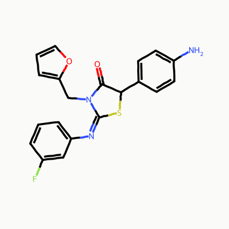 Nc1ccc(C2SC(=Nc3cccc(F)c3)N(Cc3ccco3)C2=O)cc1